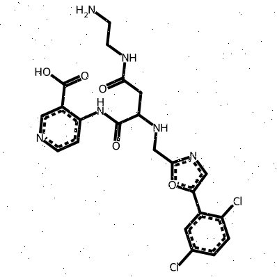 NCCNC(=O)CC(NCc1ncc(-c2cc(Cl)ccc2Cl)o1)C(=O)Nc1ccncc1C(=O)O